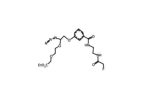 CCOC(=O)COCCOC(COc1cccc(C(=O)NCCNC(=O)CF)c1)N=[N+]=[N-]